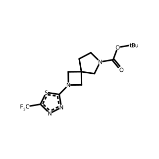 CC(C)(C)OC(=O)N1CCC2(C1)CN(c1nnc(C(F)(F)F)s1)C2